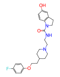 O=C(NCCN1CCC(CCOc2ccc(F)cc2)CC1)N1CCc2cc(O)ccc21